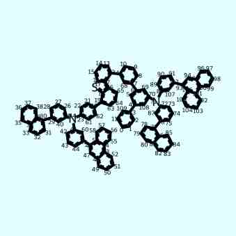 c1ccc(-c2cc(-c3cccc(-c4cccc5sc6c(-c7ccc(N(c8cccc(-c9cccc%10ccccc9%10)c8)c8cccc(-c9cc%10ccccc%10c%10ccccc9%10)c8)cc7)cccc6c45)c3)cc(N(c3cccc(-c4cccc5ccccc45)c3)c3cccc(-c4cc5ccccc5c5ccccc45)c3)c2)cc1